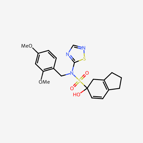 COc1ccc(CN(c2ncns2)S(=O)(=O)C2(O)C=CC3=C(CCC3)C2)c(OC)c1